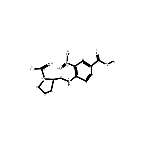 COC(=O)c1ccc(NCC2CCCN2C(=O)O)c([N+](=O)[O-])c1